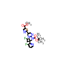 COC(=O)c1cnc(-c2cnc(N(CC3(c4ncccc4F)CC(F)C3)C(=O)OC(C)(C)C)nc2)s1